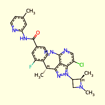 Cc1ccnc(NC(=O)c2ccc([C@@H](C)c3nn(C4CN(C)[C@@H]4C)c4c(Cl)cnc(N)c34)c(F)c2)c1